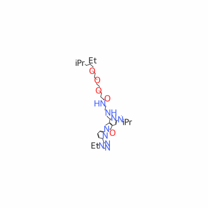 CCC(COCCOCCOCCC(=O)NCCNCc1nc(N(C)C(C)C)cc2c1CN(c1cccc(-c3nncn3CC)n1)C2=O)CC(C)C